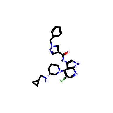 O=C(Nc1c[nH]c2ncc(Br)c(N3CCC[C@@H](NCC4CC4)C3)c12)c1cnn(Cc2ccccc2)c1